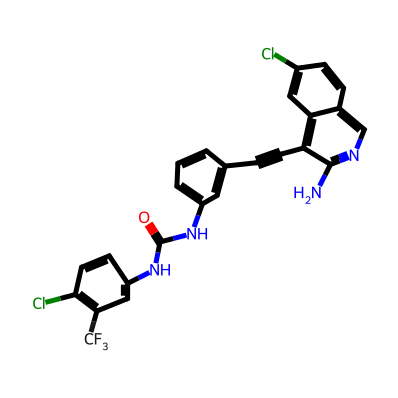 Nc1ncc2ccc(Cl)cc2c1C#Cc1cccc(NC(=O)Nc2ccc(Cl)c(C(F)(F)F)c2)c1